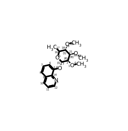 CO[C@H]1[C@H](Oc2cccc3cccnc23)OC(C)[C@H](OC)[C@H]1OC